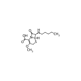 CCCCCN[C@@H]1C(=O)N2C(C(=O)O)=C(OC)CS[C@@H]12